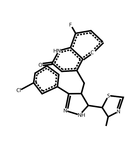 CC1N=CSC1C1NN=C(c2cccc(Cl)c2)C1Cc1cc(=O)[nH]c2c(F)cccc12